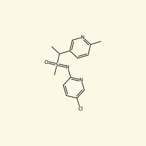 Cc1ccc(C(C)S(C)(=O)=Nc2ccc(Cl)cn2)cn1